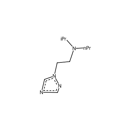 CCCN(CCn1cncn1)C(C)C